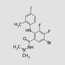 Cc1cc(I)ccc1Nc1c(C(=O)NN(C)C)cc(Br)c(F)c1F